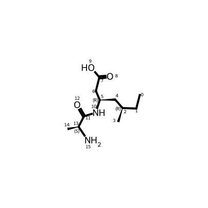 CC[C@@H](C)C[C@H](CC(=O)O)NC(=O)[C@H](C)N